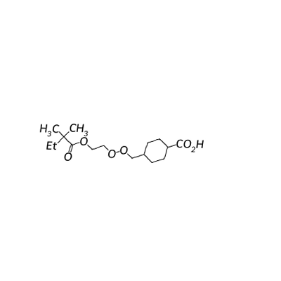 CCC(C)(C)C(=O)OCCOOCC1CCC(C(=O)O)CC1